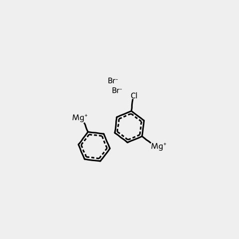 [Br-].[Br-].[Mg+][c]1cccc(Cl)c1.[Mg+][c]1ccccc1